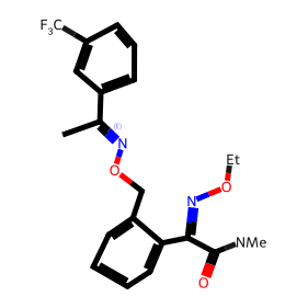 CCON=C(C(=O)NC)c1ccccc1CO/N=C(\C)c1cccc(C(F)(F)F)c1